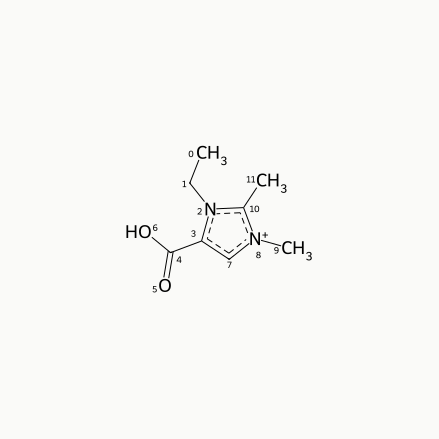 CCn1c(C(=O)O)c[n+](C)c1C